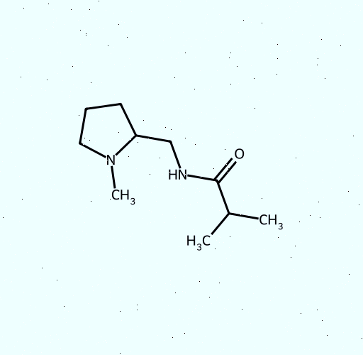 CC(C)C(=O)NCC1CCCN1C